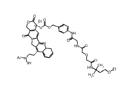 CCOCCC(C)(C)NC(=O)COCC(=O)NCC(=O)Nc1ccc(COC(=O)O[C@]2(CC)C(=O)OCc3c2cc2n(c3=O)CC3=C(CCN(C(C)=O)C(C)C)C4=CC=CCC4N=C32)cc1